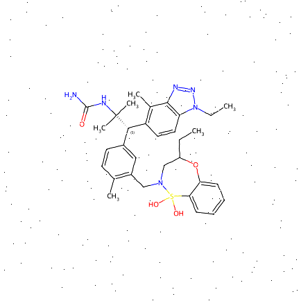 CCC1CN(Cc2cc([C@@H](c3ccc4c(nnn4CC)c3C)C(C)(C)NC(N)=O)ccc2C)S(O)(O)c2ccccc2O1